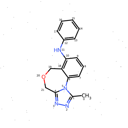 Cc1nnc2n1-c1cccc(Nc3ccccc3)c1COC2